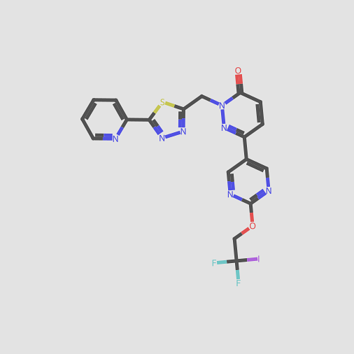 O=c1ccc(-c2cnc(OCC(F)(F)I)nc2)nn1Cc1nnc(-c2ccccn2)s1